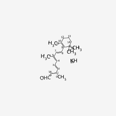 CC(C=CC=C(C)C=CC1=C(C)CCCC1(C)C)=CC=O.[KH]